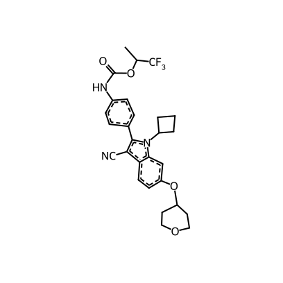 CC(OC(=O)Nc1ccc(-c2c(C#N)c3ccc(OC4CCOCC4)cc3n2C2CCC2)cc1)C(F)(F)F